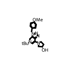 COc1ccc(Cn2nnc3c2CN(C(C)(C)C)C=C3N2CC[C@H](O)C2)cc1